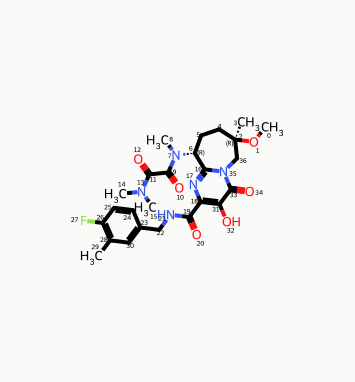 CO[C@]1(C)CC[C@@H](N(C)C(=O)C(=O)N(C)C)c2nc(C(=O)NCc3ccc(F)c(C)c3)c(O)c(=O)n2C1